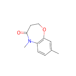 Cc1ccc2c(c1)OCCC(=O)N2C